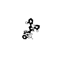 Cc1ccccc1S(=O)(=O)NC(=O)c1cc(-c2ccccc2Cl)n(-c2ncccc2Cl)n1